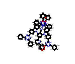 N#Cc1c(-n2c3cc(-c4nc(-c5ccccc5)nc(-c5ccccc5)n4)ccc3c3ccc(-c4nc(-c5ccccc5)nc(-c5ccccc5)n4)cc32)cc(-c2cccc(-c3ccccc3)n2)cc1-n1c2cc(-c3nc(-c4ccccc4)nc(-c4ccccc4)n3)ccc2c2ccc(-c3nc(-c4ccccc4)nc(-c4ccccc4)n3)cc21